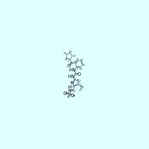 CSc1sc(NC(=O)Nc2ccccc2C(=O)C2CCCC2)nc1CNS(C)(=O)=O